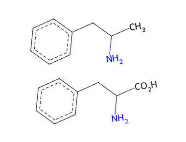 CC(N)Cc1ccccc1.NC(Cc1ccccc1)C(=O)O